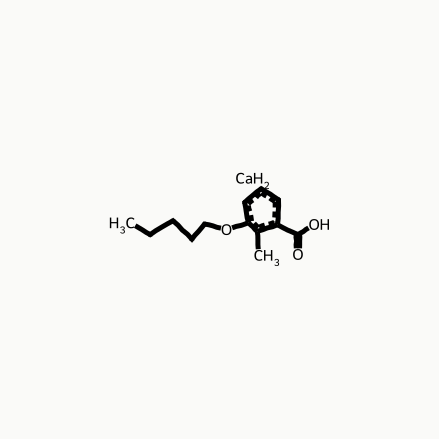 CCCCCOc1cccc(C(=O)O)c1C.[CaH2]